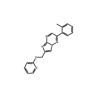 Cc1ccccc1-c1cnc2nc(COc3ccccn3)cn2n1